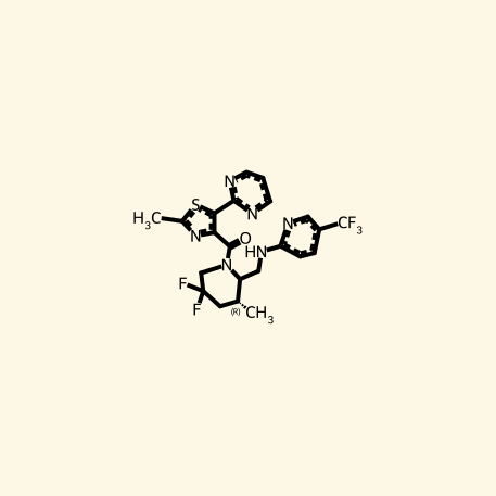 Cc1nc(C(=O)N2CC(F)(F)C[C@@H](C)C2CNc2ccc(C(F)(F)F)cn2)c(-c2ncccn2)s1